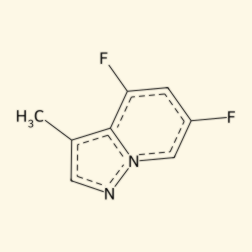 Cc1cnn2cc(F)cc(F)c12